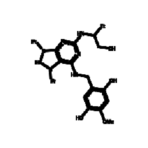 CCC(CO)Nc1nc(NCc2cc(O)c(OC)cc2O)c2c(n1)N(C(C)C)NN2C(C)C